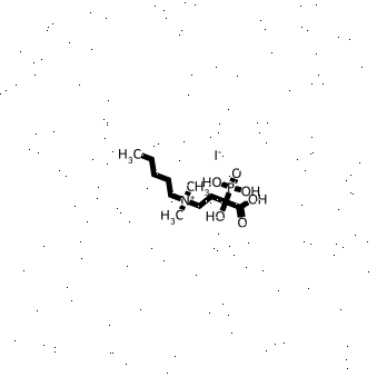 CCCCC[N+](C)(C)CCC(O)(C(=O)O)P(=O)(O)O.[I-]